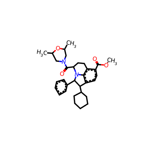 COC(=O)c1ccc2c3c1CCC(C(=O)N1CC(C)OC(C)C1)N3C(c1ccccc1)C2C1CCCCC1